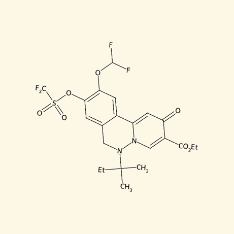 CCOC(=O)c1cn2c(cc1=O)-c1cc(OC(F)F)c(OS(=O)(=O)C(F)(F)F)cc1CN2C(C)(C)CC